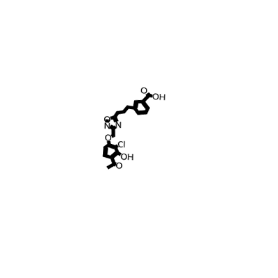 CC(=O)c1ccc(OCc2noc(CCCc3cccc(C(=O)O)c3)n2)c(Cl)c1O